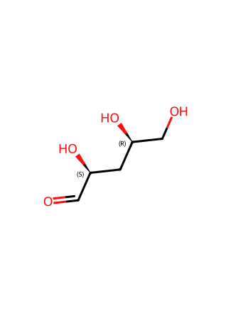 O=C[C@@H](O)C[C@@H](O)CO